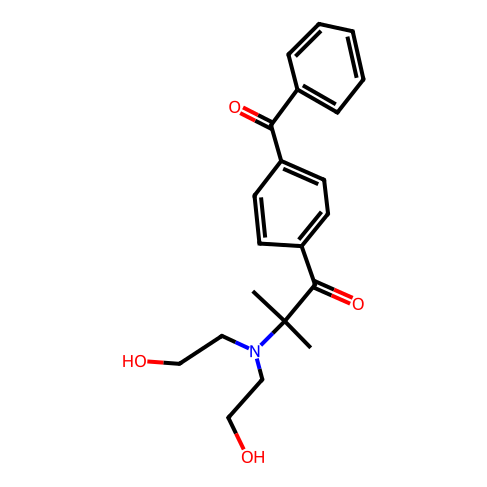 CC(C)(C(=O)c1ccc(C(=O)c2ccccc2)cc1)N(CCO)CCO